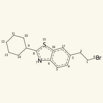 BrCCc1ccc2nc(C3CCCCC3)sc2c1